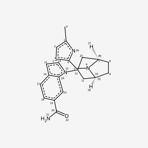 Cc1csc(CN2[C@@H]3CC[C@H]2CC(n2ccc4ccc(C(N)=O)cc42)C3)n1